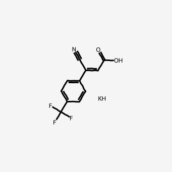 N#CC(=CC(=O)O)c1ccc(C(F)(F)F)cc1.[KH]